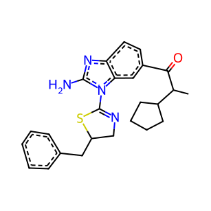 CC(C(=O)c1ccc2nc(N)n(C3=NCC(Cc4ccccc4)S3)c2c1)C1CCCC1